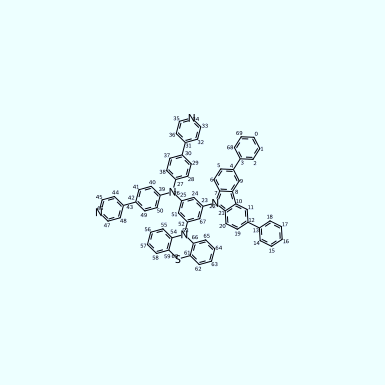 c1ccc(-c2ccc3c(c2)c2cc(-c4ccccc4)ccc2n3-c2cc(N(c3ccc(-c4ccncc4)cc3)c3ccc(-c4ccncc4)cc3)cc(N3c4ccccc4Sc4ccccc43)c2)cc1